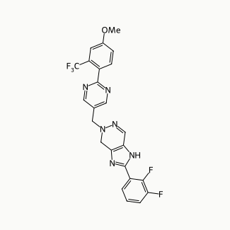 COc1ccc(-c2ncc(CN3Cc4nc(-c5cccc(F)c5F)[nH]c4C=N3)cn2)c(C(F)(F)F)c1